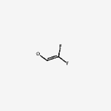 [O]C=C(F)F